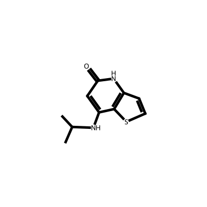 CC(C)Nc1cc(=O)[nH]c2ccsc12